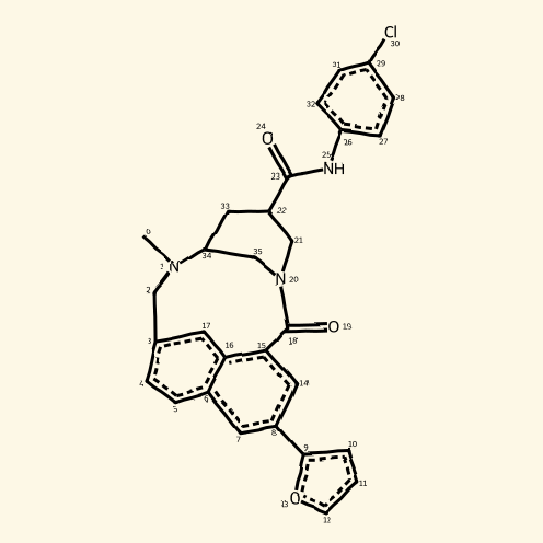 CN1Cc2ccc3cc(-c4ccco4)cc(c3c2)C(=O)N2CC(C(=O)Nc3ccc(Cl)cc3)CC1C2